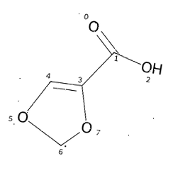 O=C(O)C1=CO[CH]O1